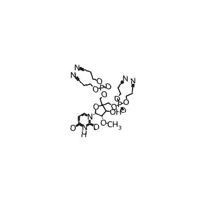 CO[C@H]1C(O)C(COP(=O)(OCCC#N)OCCC#N)(COP(=O)(OCCC#N)OCCC#N)O[C@H]1n1ccc(=O)[nH]c1=O